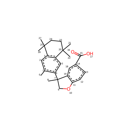 Cc1cc2c(cc1C1(C)COc3ccc(C(=O)O)cc31)C(C)(C)CCC2(C)C